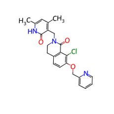 Cc1cc(C)c(CN2CCc3ccc(OCc4ccccn4)c(Cl)c3C2=O)c(=O)[nH]1